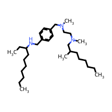 CCCCCCCC(CC)NCc1ccc(CN(C)CCN(C)CC(C)CCCCCC)cc1